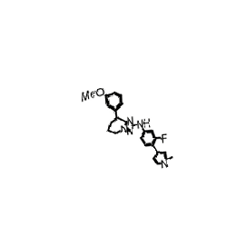 COc1cccc(C2CCCn3nc(Nc4ccc(-c5ccnc(C)c5)c(F)c4)nc32)c1